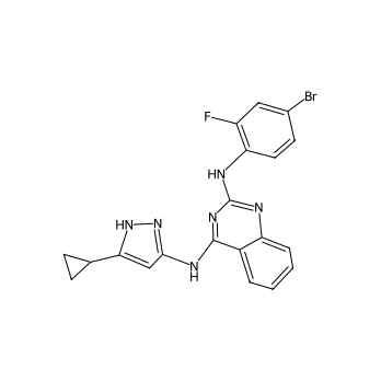 Fc1cc(Br)ccc1Nc1nc(Nc2cc(C3CC3)[nH]n2)c2ccccc2n1